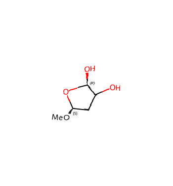 CO[C@@H]1CC(O)[C@H](O)O1